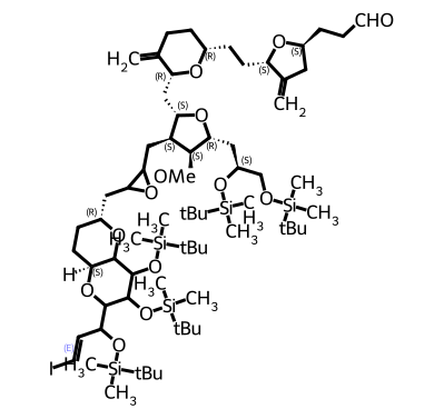 C=C1C[C@H](CCC=O)O[C@H]1CC[C@H]1CCC(=C)[C@@H](C[C@@H]2O[C@H](C[C@@H](CO[Si](C)(C)C(C)(C)C)O[Si](C)(C)C(C)(C)C)[C@@H](OC)[C@H]2CC2OC2C[C@H]2CC[C@@H]3OC(C(/C=C/I)O[Si](C)(C)C(C)(C)C)C(O[Si](C)(C)C(C)(C)C)C(O[Si](C)(C)C(C)(C)C)C3O2)O1